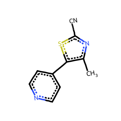 Cc1nc(C#N)sc1-c1ccncc1